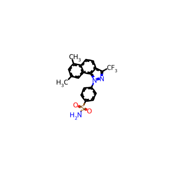 Cc1cc(C)c2ccc3c(C(F)(F)F)nn(-c4ccc(S(N)(=O)=O)cc4)c3c2c1